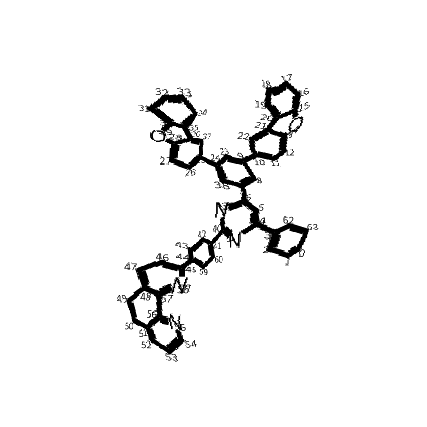 c1ccc(-c2cc(-c3cc(-c4ccc5oc6ccccc6c5c4)cc(-c4ccc5oc6ccccc6c5c4)c3)nc(-c3ccc(-c4ccc5ccc6cccnc6c5n4)cc3)n2)cc1